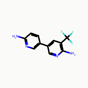 Nc1ccc(-c2cnc(N)c(C(F)(F)F)c2)cn1